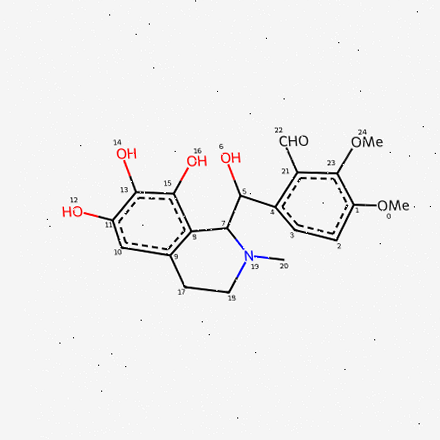 COc1ccc(C(O)C2c3c(cc(O)c(O)c3O)CCN2C)c(C=O)c1OC